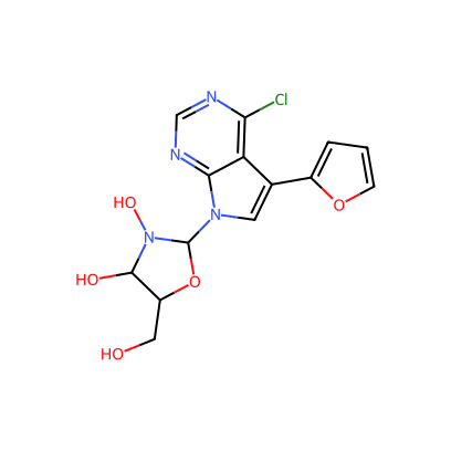 OCC1OC(n2cc(-c3ccco3)c3c(Cl)ncnc32)N(O)C1O